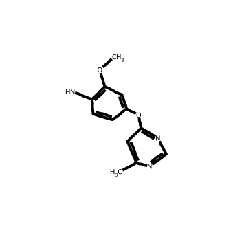 COc1cc(Oc2cc(C)ncn2)ccc1[NH]